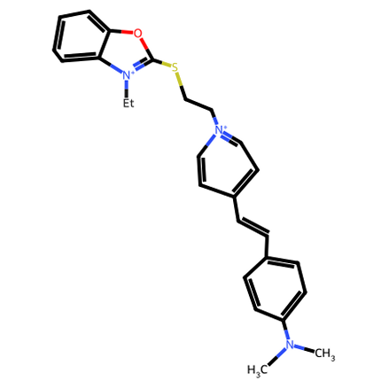 CC[n+]1c(SCC[n+]2ccc(/C=C/c3ccc(N(C)C)cc3)cc2)oc2ccccc21